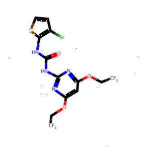 O=C(Nc1nc(OCC(F)(F)F)cc(OCC(F)(F)F)n1)Nc1sccc1Br